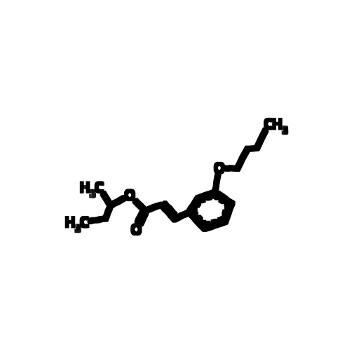 CCCCOc1cccc(C=CC(=O)OC(C)CC)c1